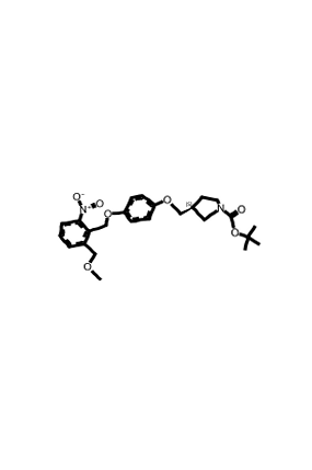 COCc1cccc([N+](=O)[O-])c1COc1ccc(OC[C@H]2CCN(C(=O)OC(C)(C)C)C2)cc1